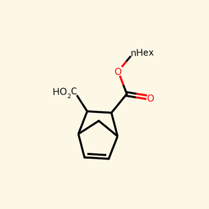 CCCCCCOC(=O)C1C2C=CC(C2)C1C(=O)O